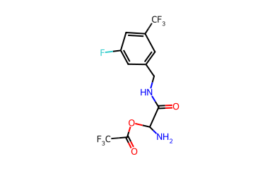 NC(OC(=O)C(F)(F)F)C(=O)NCc1cc(F)cc(C(F)(F)F)c1